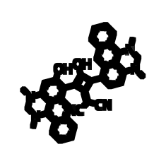 CN1CN(C)c2c3ccccc3cc3c(C4C(O)=C(c5c(O)cc6c7c(c8ccccc8cc57)N(C)CN6C)C4=C(C#N)C#N)ccc1c23